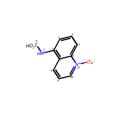 O=C(O)Nc1cccc2c1ccc[n+]2[O-]